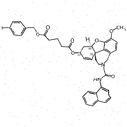 COc1ccc2c3c1O[C@@H]1C[C@H](OC(=O)CCCC(=O)OCc4ccc(I)cc4)C=C[C@@]31CCN(C(=O)Nc1cccc3ccccc13)C2